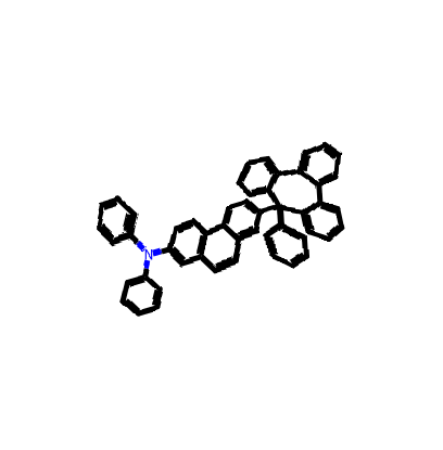 c1ccc(N(c2ccccc2)c2ccc3c(ccc4cc(C5(c6ccccc6)c6ccccc6-c6ccccc6-c6ccccc65)ccc43)c2)cc1